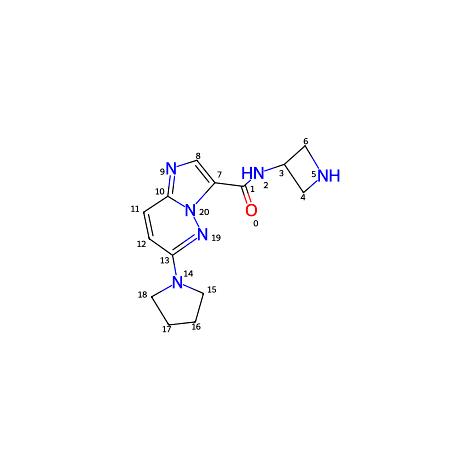 O=C(NC1CNC1)c1cnc2ccc(N3CCCC3)nn12